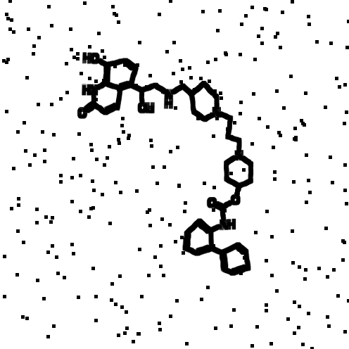 O=C(Nc1ccccc1-c1ccccc1)OC1CCN(CCCN2CCC(CNCC(O)c3ccc(O)c4[nH]c(=O)ccc34)CC2)CC1